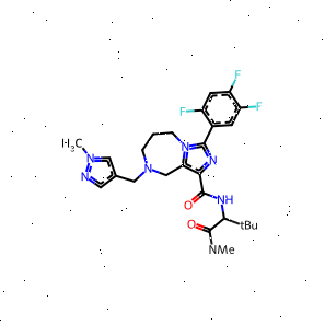 CNC(=O)C(NC(=O)c1nc(-c2cc(F)c(F)cc2F)n2c1CN(Cc1cnn(C)c1)CCC2)C(C)(C)C